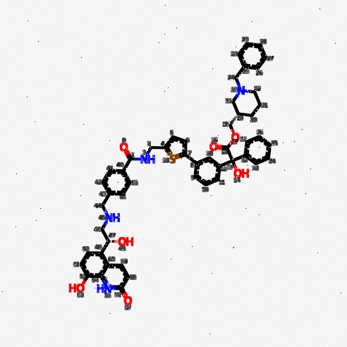 O=C(NCc1ccc(-c2cccc(C(O)(C(=O)OC[C@H]3CCCN(Cc4ccccc4)C3)c3ccccc3)c2)s1)c1ccc(CNC[C@H](O)c2ccc(O)c3[nH]c(=O)ccc23)cc1